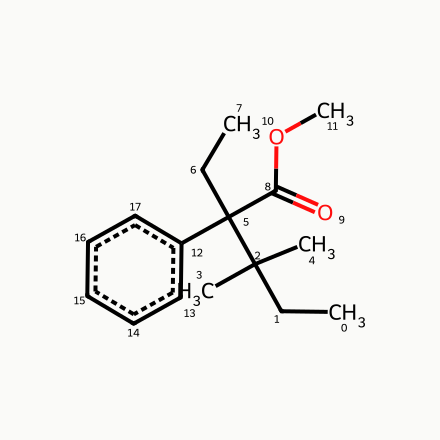 CCC(C)(C)C(CC)(C(=O)OC)c1ccccc1